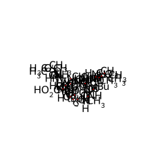 Cc1c(C)c(S(=O)(=O)NC(=N)NCCC[C@H](NC(=O)[C@H](C)NC(=O)[C@H](CC(=O)OC(C)(C)C)NC(=O)[C@H](C)NC(=O)[C@H](CCCNC(=N)NS(=O)(=O)c2c(C)c(C)c3c(c2C)CC(C)(C)O3)NC(=O)[C@H](C)NC(=O)[C@H](CC(=O)OC(C)(C)C)NC(=O)[C@H](C)NC(=O)OCC2c3ccccc3-c3ccccc32)C(=O)N[C@@H](C)C(=O)N[C@@H](CC(=O)OC(C)(C)C)C(=O)N[C@@H](C)C(=O)O)c(C)c2c1OC(C)(C)C2